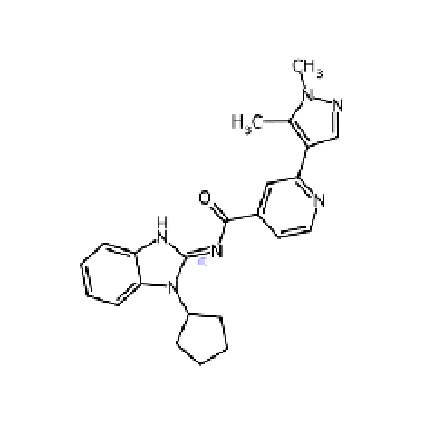 Cc1c(-c2cc(C(=O)/N=c3\[nH]c4ccccc4n3C3CCCC3)ccn2)cnn1C